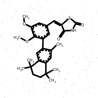 COc1cc(C=C2SC(=O)NC2=O)cc(-c2cc3c(cc2C)C(C)(C)CCC3(C)C)c1OC